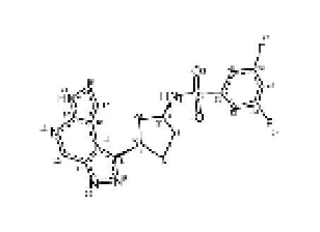 O=S(=O)(N[C@H]1CC[C@@H](c2nnc3cnc4[nH]ccc4n23)C1)c1cc(F)cc(F)c1